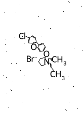 CCC=C[N+]1(CC)CCCCC1Oc1ccc2c(c1)oc1cc(Cl)ccc12.[Br-]